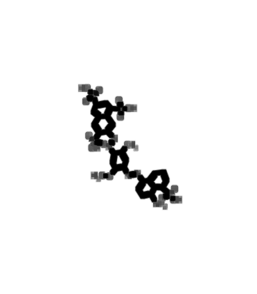 COc1cc(N=Nc2cc3c(S(=O)(=O)O)cc(S(=O)(=O)O)cc3cc2S(=O)(=O)O)c(C)cc1N=Nc1ccc(N)c2c(S(=O)(=O)O)cccc12